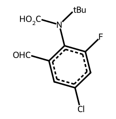 CC(C)(C)N(C(=O)O)c1c(F)cc(Cl)cc1C=O